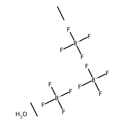 CC.CC.F[B-](F)(F)F.F[B-](F)(F)F.F[B-](F)(F)F.O